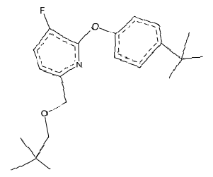 CC(C)(C)COCc1ccc(F)c(Oc2ccc(C(C)(C)C)cc2)n1